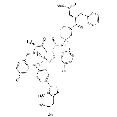 COC(=O)C[C@@H](Cc1ccccc1)C(=O)N1CCC[C@](Cc2ccc(Cl)cc2)(NC(=O)[C@@H]2COC(C)(C)N2C(=O)[C@H](C)NCc2ccc(Cl)cc2Oc2ccc(-c3cnc(CN(C)C)n3C)cc2)C1